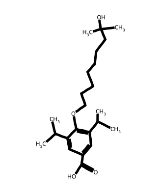 CC(C)c1cc(C(=O)O)cc(C(C)C)c1OCCCCCCCC(C)(C)O